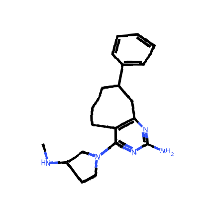 CNC1CCN(c2nc(N)nc3c2CCCC(c2ccccc2)C3)C1